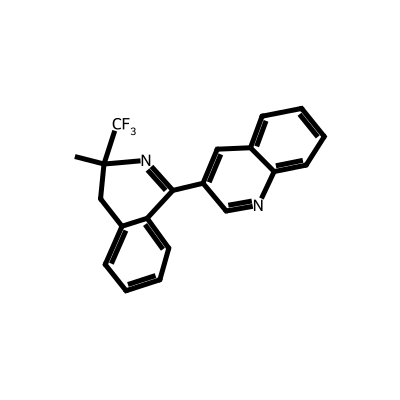 CC1(C(F)(F)F)Cc2ccccc2C(c2cnc3ccccc3c2)=N1